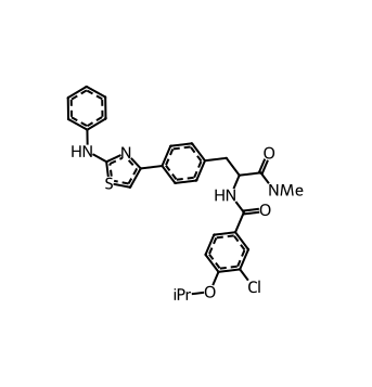 CNC(=O)C(Cc1ccc(-c2csc(Nc3ccccc3)n2)cc1)NC(=O)c1ccc(OC(C)C)c(Cl)c1